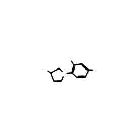 Nc1cc(Br)ccc1N1CCC(O)C1